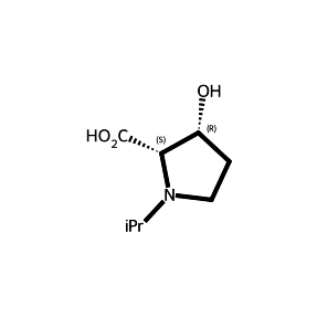 CC(C)N1CC[C@@H](O)[C@H]1C(=O)O